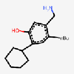 CCCCc1cc(C2CCCCC2)c(O)cc1CN